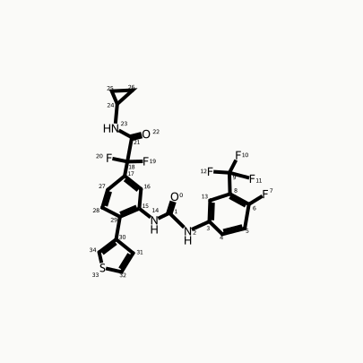 O=C(Nc1ccc(F)c(C(F)(F)F)c1)Nc1cc(C(F)(F)C(=O)NC2CC2)ccc1-c1ccsc1